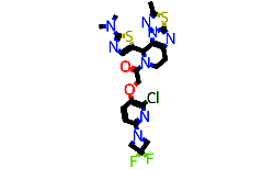 Cc1nn2c3c(nc2s1)CCN(C(=O)COc1ccc(N2CC(F)(F)C2)nc1Cl)C3c1cnc(N(C)C)s1